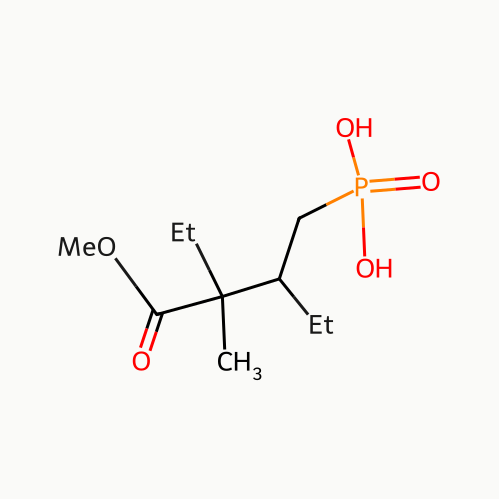 CCC(CP(=O)(O)O)C(C)(CC)C(=O)OC